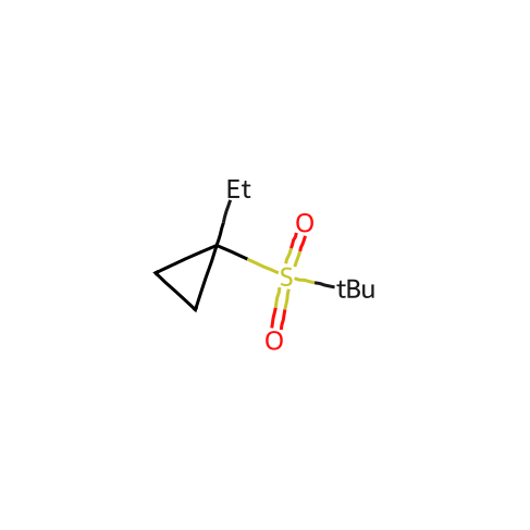 CCC1(S(=O)(=O)C(C)(C)C)CC1